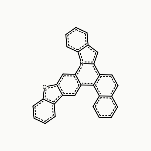 c1ccc2c(c1)ccc1c2c2cc3c(cc2n2c4ccccc4cc12)oc1ccccc13